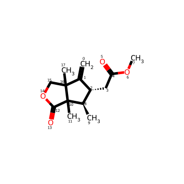 C=C1[C@H](CC(=O)OC)[C@@H](C)C2(C)C(=O)OCC12C